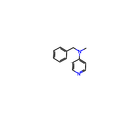 CN(Cc1ccccc1)c1[c]cncc1